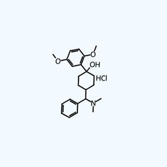 COc1ccc(OC)c(C2(O)CCC(C(c3ccccc3)N(C)C)CC2)c1.Cl